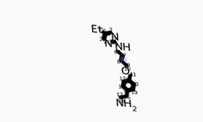 CCc1cnc(NC/C=C/COCc2ccc(CCN)cc2)nc1